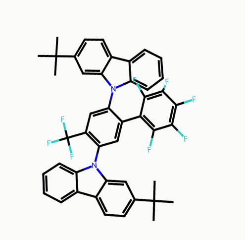 CC(C)(C)c1ccc2c3ccccc3n(-c3cc(C(F)(F)F)c(-n4c5ccccc5c5ccc(C(C)(C)C)cc54)cc3-c3c(F)c(F)c(F)c(F)c3F)c2c1